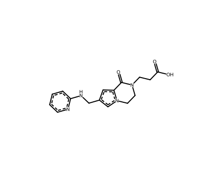 O=C(O)CCN1CCn2cc(CNc3ccccn3)cc2C1=O